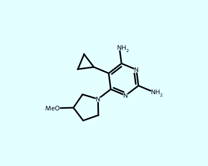 COC1CCN(c2nc(N)nc(N)c2C2CC2)C1